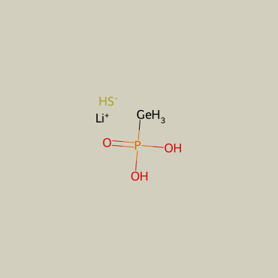 O=[P](O)(O)[GeH3].[Li+].[SH-]